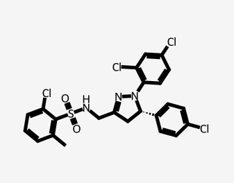 Cc1cccc(Cl)c1S(=O)(=O)NCC1=NN(c2ccc(Cl)cc2Cl)[C@H](c2ccc(Cl)cc2)C1